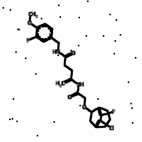 C=C(CCC(=O)NCc1ccc(OC)c(F)c1)NC(=O)COC1CC2=C(Cl)C(F)=C1CCC2